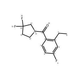 CCc1cc(F)ccc1C(=O)N1CCC(F)(F)C1